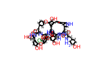 N[C@H](Cc1ccc(O)cc1)C(=O)N[C@H]1Cc2c[nH]c3cc(ccc23)-c2cc3cc(c2O)Oc2ccc(cc2)C[C@@H]2NC(=O)[C@H](NC(=O)[C@@H]3NC(=O)[C@H](c3cc(O)cc(O)c3)NC1=O)c1ccc(c(Cl)c1)Oc1cc(ccc1O)[C@H](C(=O)O)NC2=O